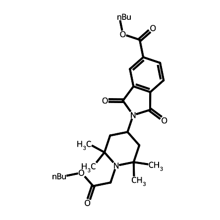 CCCCOC(=O)CN1C(C)(C)CC(N2C(=O)c3ccc(C(=O)OCCCC)cc3C2=O)CC1(C)C